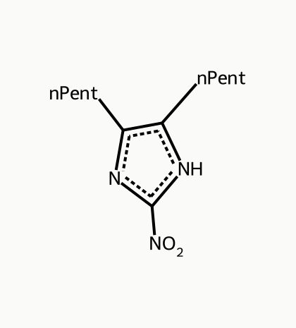 CCCCCc1nc([N+](=O)[O-])[nH]c1CCCCC